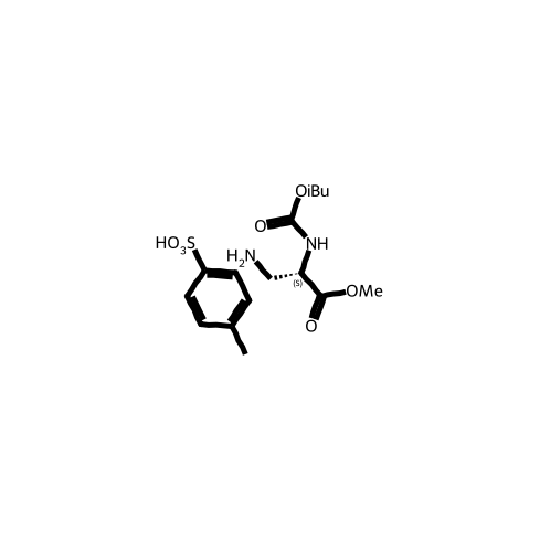 COC(=O)[C@H](CN)NC(=O)OCC(C)C.Cc1ccc(S(=O)(=O)O)cc1